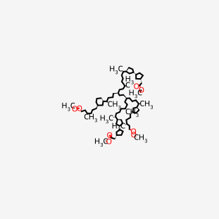 COOCC[C@H](C)CCC[C@H]1CCC[C@H]([C@H](C)CCC[C@@H](CC[C@@H](C)CCC[C@@H](C)[C@H]2CC[C@H](C3CC[C@H](CC(=O)OC)C3)C2)CC[C@@H](CCC[C@@H](C)[C@H]2CC[C@H](CCC[C@@H](C)CCOOC)C2)CC[C@@H](C)CCC[C@@H](C)[C@H]2CC[C@H](C3CC[C@H](CC(=O)OC)C3)C2)C1